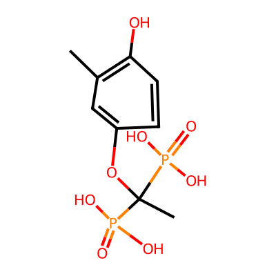 Cc1cc(OC(C)(P(=O)(O)O)P(=O)(O)O)ccc1O